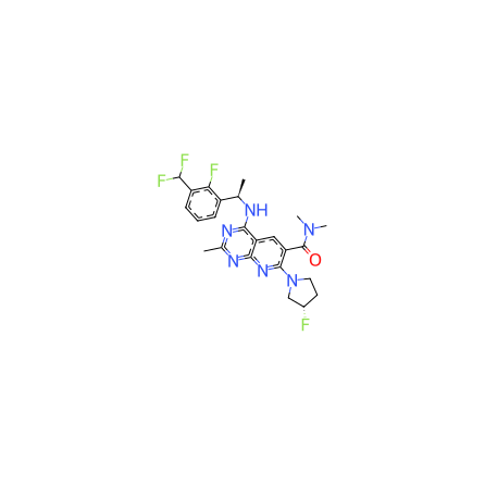 Cc1nc(N[C@H](C)c2cccc(C(F)F)c2F)c2cc(C(=O)N(C)C)c(N3CC[C@H](F)C3)nc2n1